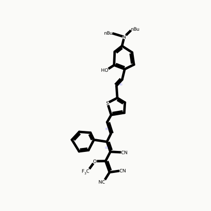 CCCCN(CCCC)c1ccc(/C=C/c2ccc(/C=C/C(=C(\C#N)C(OC(F)(F)F)=C(C#N)C#N)c3ccccc3)s2)c(O)c1